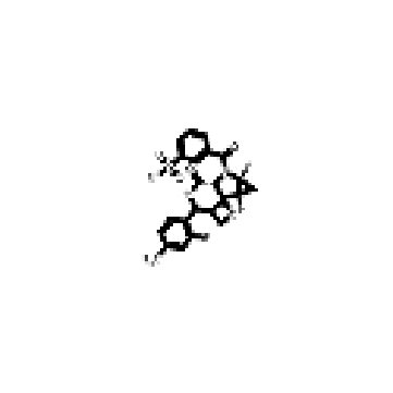 CCS(=O)(=O)c1cccc(C(=O)N2[C@@H](C(=O)NC(c3ccc(C(F)(F)F)cc3F)C3COC3)C[C@H]3C[C@H]32)c1